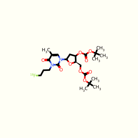 Cc1cn(C2CC(OC(=O)OC(C)(C)C)[C@@H](COC(=O)OC(C)(C)C)O2)c(=O)n(CCC[18F])c1=O